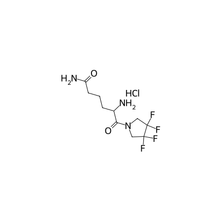 Cl.NC(=O)CCCC(N)C(=O)N1CC(F)(F)C(F)(F)C1